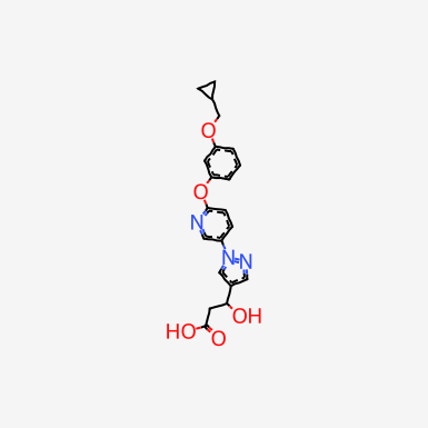 O=C(O)CC(O)c1cnn(-c2ccc(Oc3cccc(OCC4CC4)c3)nc2)c1